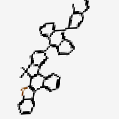 C/C=C\c1ccc(-c2c3ccccc3c(-c3ccc4c(c3)-c3c(c5sc6ccccc6c5c5ccccc35)C4(C)C)c3ccccc23)cc1C